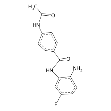 CC(=O)Nc1ccc(C(=O)Nc2cc(F)ccc2N)cc1